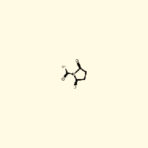 CCC(=O)N1C(=O)CCC1=O